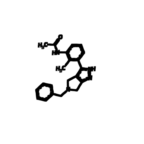 CC(=O)Nc1cccc(-c2[nH]nc3c2CN(Cc2ccccc2)C3)c1C